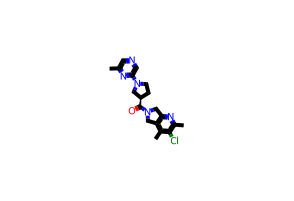 Cc1cncc(N2CC[C@@H](C(=O)N3Cc4nc(C)c(Cl)c(C)c4C3)C2)n1